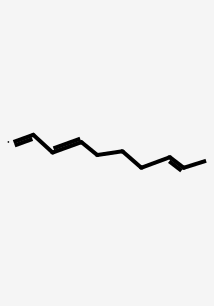 [CH]=CC=CCCCC=CC